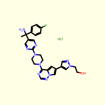 CC(N)(c1ccc(F)cc1)c1cnc(N2CCN(c3ncnn4cc(-c5cnn(CCO)c5)cc34)CC2)nc1.Cl